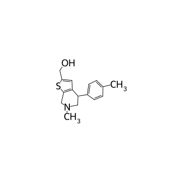 Cc1ccc(C2CN(C)Cc3sc(CO)cc32)cc1